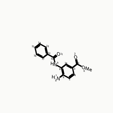 COC(=O)c1ccc(N)c(NC(=O)c2ccccc2)c1